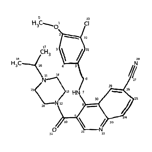 COc1ccc(CNc2c(C(=O)N3CCN(C(C)C)CC3)cnc3ccc(C#N)cc23)cc1Cl